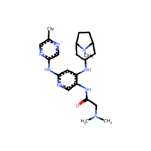 CN(C)CC(=O)Nc1cnc(Nc2cnc(C#N)cn2)cc1NC1CC2CCC(C1)N2C